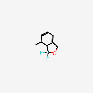 CC1C=CC=C2CO[B-](F)(F)C21